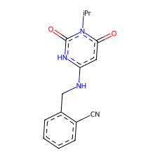 CC(C)n1c(=O)cc(NCc2ccccc2C#N)[nH]c1=O